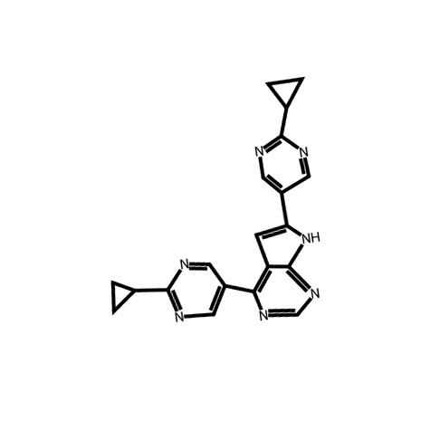 c1nc(-c2cnc(C3CC3)nc2)c2cc(-c3cnc(C4CC4)nc3)[nH]c2n1